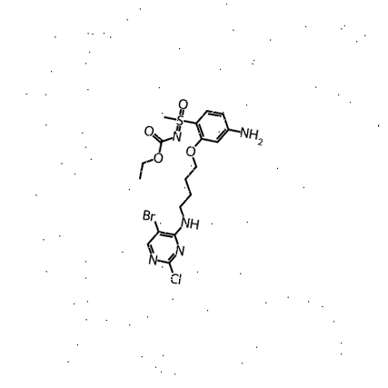 CCOC(=O)N=S(C)(=O)c1ccc(N)cc1OCCCCNc1nc(Cl)ncc1Br